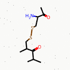 CC(=O)C(N)CSSCC(C)C(=O)C(C)C